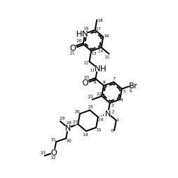 CCN(c1cc(Br)cc(C(=O)NCc2c(C)cc(C)[nH]c2=O)c1C)[C@H]1CC[C@H](N(C)CCOC)CC1